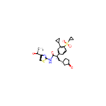 CC(=O)c1csc(NC(=O)/C(=C/[C@H]2CCC(=O)C2)c2ccc(S(=O)(=O)C3CC3)c(C3CC3)c2)n1